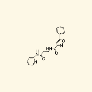 O=C(CCNC(=O)c1cc(-c2ccccc2)on1)Nc1ccccn1